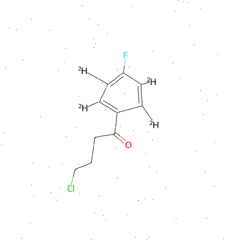 [2H]c1c([2H])c(C(=O)CCCCl)c([2H])c([2H])c1F